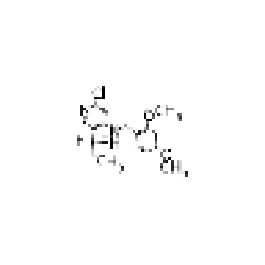 CCC(F)(F)c1cnc(Cl)cc1NCc1ccc(OC)cc1OC